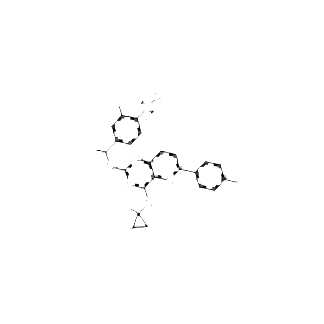 CC(Nc1nc(NC2(C(F)(F)F)CC2)c2nc(-c3ccc(F)cc3)ccc2n1)c1ccc(S(N)(=O)=O)c(F)c1